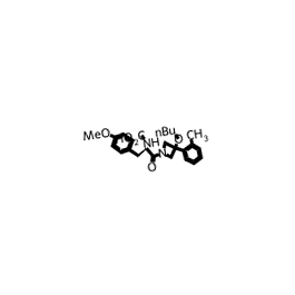 CCCCOC1(c2ccccc2C)CN(C(=O)[C@@H](Cc2ccc(OC)cc2)NC(=O)O)C1